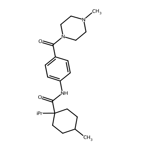 CC1CCC(C(=O)Nc2ccc(C(=O)N3CCN(C)CC3)cc2)(C(C)C)CC1